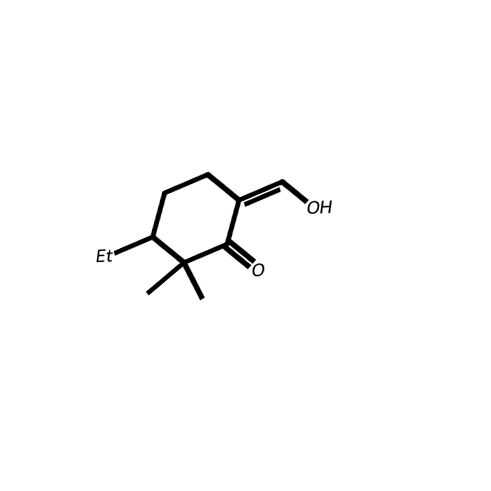 CCC1CC/C(=C/O)C(=O)C1(C)C